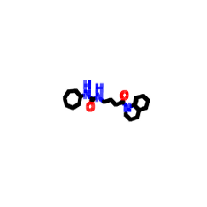 O=C(NCCCC(=O)N1CCCC2CCCC=C21)NC1CCCCCC1